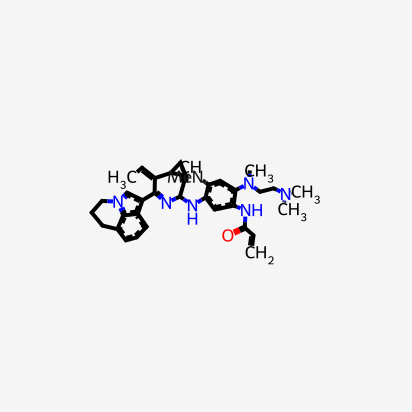 C#CC(/N=C(\C(=C/C)C1CC1)c1cn2c3c(cccc13)CCC2)Nc1cc(NC(=O)C=C)c(N(C)CCN(C)C)cc1NC